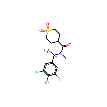 CN(C(=O)C1CCS(=O)(=O)CC1)[C@@H](c1cc(F)c(Br)c(F)c1)C(F)(F)F